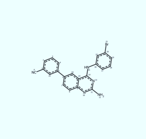 N#Cc1cccc(-c2ccc3nc(N)nc(Nc4cccc(Br)c4)c3c2)c1